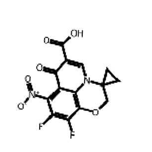 O=C(O)c1cn2c3c(c(F)c(F)c([N+](=O)[O-])c3c1=O)OCC21CC1